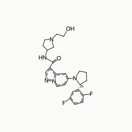 O=C(NC1CCN(CCO)C1)c1cnn2ccc(N3CCC[C@@H]3c3cc(F)ccc3F)cc12